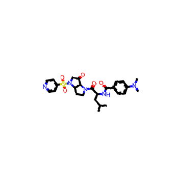 CC(C)CC(NC(=O)c1ccc(N(C)C)cc1)C(=O)N1CCC2C1C(=O)CN2S(=O)(=O)c1ccncc1